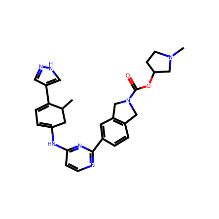 CC1CC(Nc2ccnc(-c3ccc4c(c3)CN(C(=O)OC3CCN(C)C3)C4)n2)=CC=C1c1cn[nH]c1